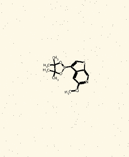 COc1cc2c(B3OC(C)(C)C(C)(C)O3)csc2cn1